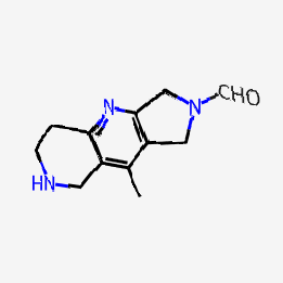 Cc1c2c(nc3c1CN(C=O)C3)CCNC2